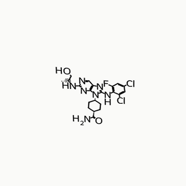 C[C@H](CO)Nc1ncc2nc(Nc3c(F)cc(Cl)cc3Cl)n([C@H]3CC[C@H](C(N)=O)CC3)c2n1